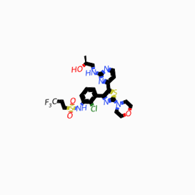 C[C@H](O)CNc1nccc(-c2sc(N3CCOCC3)nc2-c2cccc(NS(=O)(=O)CCC(F)(F)F)c2Cl)n1